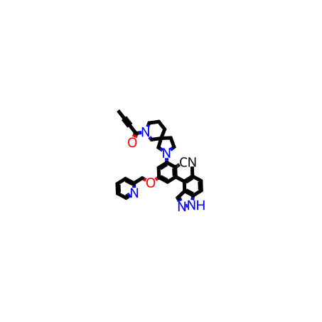 CC#CC(=O)N1CCCC2(CCN(c3cc(OCc4ccccn4)cc(-c4c(C)ccc5[nH]ncc45)c3C#N)C2)C1